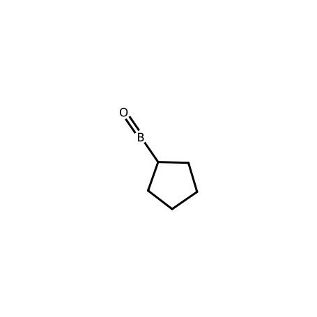 O=BC1CCCC1